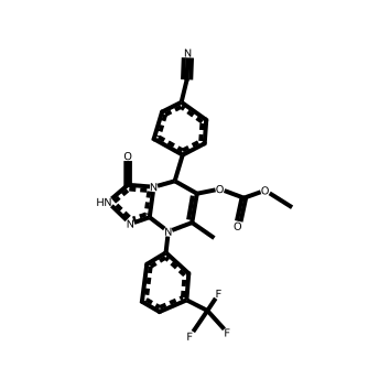 COC(=O)OC1=C(C)N(c2cccc(C(F)(F)F)c2)c2n[nH]c(=O)n2C1c1ccc(C#N)cc1